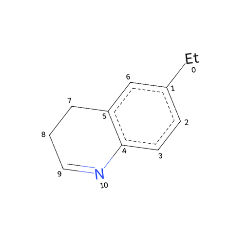 CCc1ccc2c(c1)CCC=N2